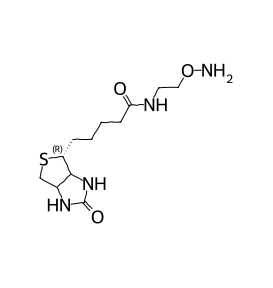 NOCCNC(=O)CCCC[C@H]1SCC2NC(=O)NC21